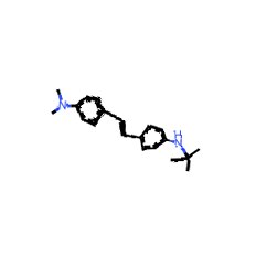 CN(C)c1ccc(/C=C/c2ccc(NC(C)(C)C)cc2)cc1